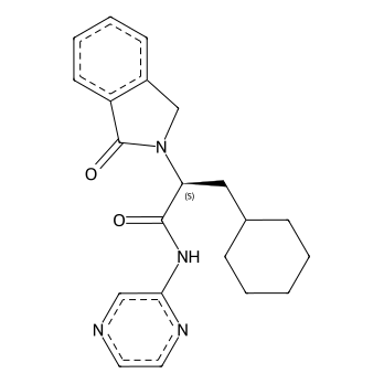 O=C(Nc1cnccn1)[C@H](CC1CCCCC1)N1Cc2ccccc2C1=O